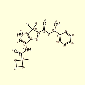 CC1(C(=O)Nc2n[nH]c3c2CN(C(=O)CC(O)c2ccccc2)C3(C)C)CCC1